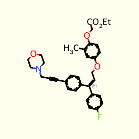 CCOC(=O)COc1ccc(OC/C=C(/c2ccc(F)cc2)c2ccc(C#CCN3CCOCC3)cc2)cc1C